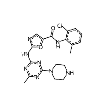 Cc1nc(Nc2ncc(C(=O)Nc3c(C)cccc3Cl)o2)nc(N2CCNCC2)n1